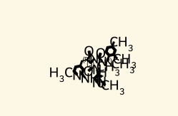 CC[C@@H](NC(=O)N1C(=O)[C@H](Cc2cc(C)nc(N)c2)[C@H]1C(=O)N(C)c1cnn(C)c1)c1ccc(C)cc1C